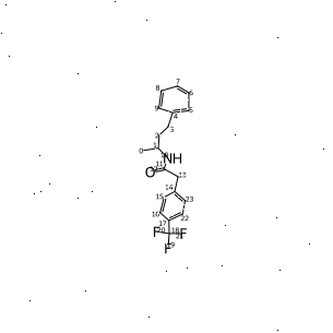 CC(CCc1ccccc1)NC(=O)Cc1ccc(C(F)(F)F)cc1